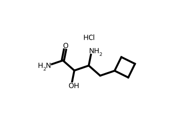 Cl.NC(=O)C(O)C(N)CC1CCC1